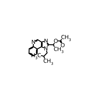 CC(=O)OC(C)c1nc2cnc3ccccc3c2n1CC(C)C